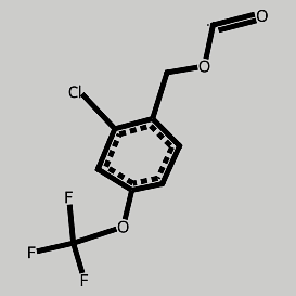 O=[C]OCc1ccc(OC(F)(F)F)cc1Cl